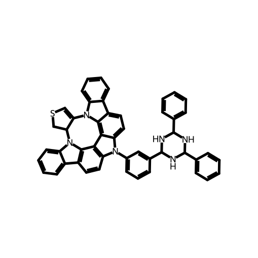 C1=C2C(CS1)n1c3ccccc3c3ccc4c(c5c6c(ccc5n4-c4cccc(C5NC(c7ccccc7)NC(c7ccccc7)N5)c4)c4ccccc4n62)c31